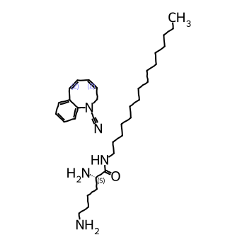 CCCCCCCCCCCCCCCCNC(=O)[C@@H](N)CCCCN.N#CN1C/C=C\C=C/c2ccccc21